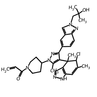 C=CC(=O)N1CCC(n2nc(-c3ccc4nn(CC(C)(C)O)cc4c3)c(C3(C)c4cn[nH]c4C=C(C)C3Cl)c2C)CC1